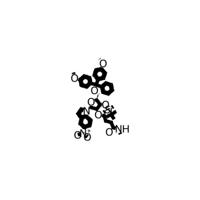 CNC(=O)CCC(=O)O[C@H]1C(O[Si](C)(C)C(C)(C)C)[C@@H](COC(c2ccccc2)(c2ccc(OC)cc2)c2ccc(OC)cc2)O[C@H]1n1ccc2cc([N+](=O)[O-])ccc21